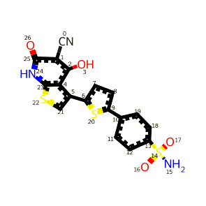 N#Cc1c(O)c2c(-c3ccc(-c4ccc(S(N)(=O)=O)cc4)s3)csc2[nH]c1=O